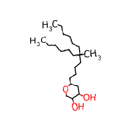 CCCCCCC(C)(CCCCCC)CCCC[C@H]1C[C@@H](O)C(O)CO1